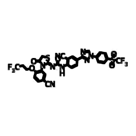 N#Cc1ccc(OCCC(F)(F)F)c(N2C(=O)CS/C2=N\C(=O)Nc2ccc(-c3ncn(-c4ccc(S(=O)(=O)C(F)(F)F)cc4)n3)cc2C#N)c1